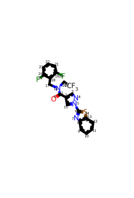 O=C(c1cnn(-c2nc3ccccc3s2)c1)N(Cc1c(F)cccc1F)CC(F)(F)F